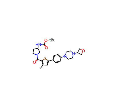 Cc1cc(-c2ccc(N3CCN(C4COC4)CC3)cc2)sc1C(=O)N1CC[C@H](NC(=O)OC(C)(C)C)C1